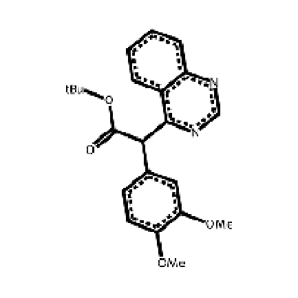 COc1ccc(C(C(=O)OC(C)(C)C)c2ncnc3ccccc23)cc1OC